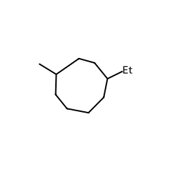 [CH2]CC1CCCCC(C)CC1